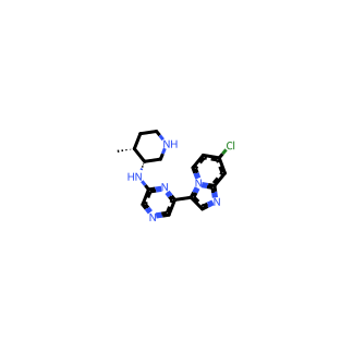 C[C@@H]1CCNC[C@@H]1Nc1cncc(-c2cnc3cc(Cl)ccn23)n1